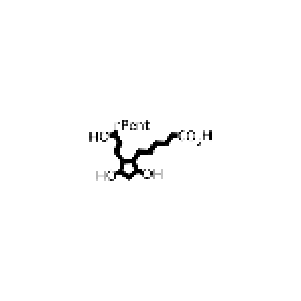 CCCCCC(O)C=CC1C(O)CC(O)C1CCCCCC(=O)O